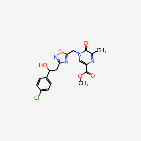 COC(=O)c1cn(Cc2nc(CC(O)c3ccc(Cl)cc3)no2)c(=O)c(C)n1